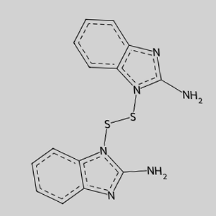 Nc1nc2ccccc2n1SSn1c(N)nc2ccccc21